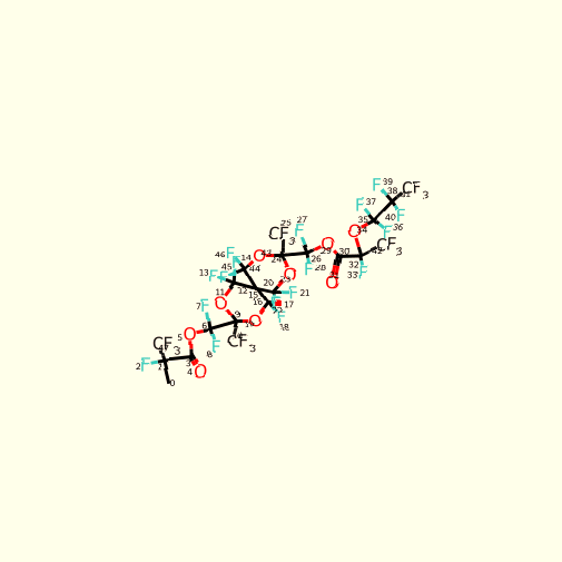 CC(F)(C(=O)OC(F)(F)C1(C(F)(F)F)OC(F)(F)C2(C(F)(F)O1)C(F)(F)OC(C(F)(F)F)(C(F)(F)OC(=O)C(F)(OC(F)(F)C(F)(F)C(F)(F)F)C(F)(F)F)OC2(F)F)C(F)(F)F